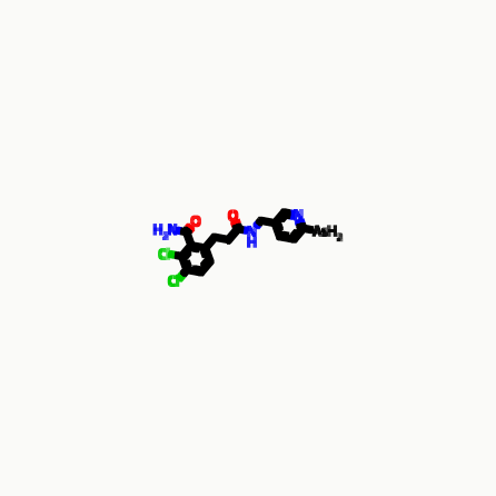 NC(=O)c1c(C[CH]C(=O)NCc2ccc([AsH2])nc2)ccc(Cl)c1Cl